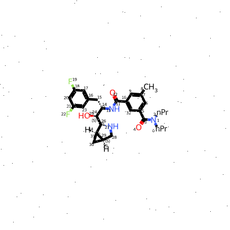 CCCN(CCC)C(=O)c1cc(C)cc(C(=O)N[C@@H](Cc2cc(F)cc(F)c2)[C@H](O)[C@@H]2NC[C@H]3C[C@H]32)c1